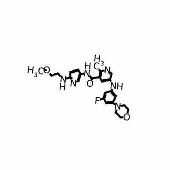 COCCNc1ccc(NC(=O)c2cc(Nc3cc(F)cc(N4CCOCC4)c3)cnc2C)cn1